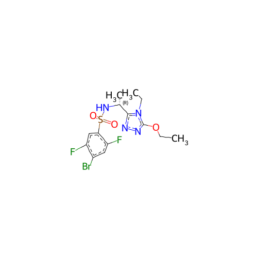 CCOc1nnc([C@@H](C)NS(=O)(=O)c2cc(F)c(Br)cc2F)n1CC